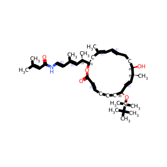 CC(C)=CC(=O)N/C=C/C(C)=C/[C@H](C)[C@@H]1C/C(C)=C/C=C/CC[C@@H](O)[C@H](C)/C=C/[C@H](O[Si](C)(C)C(C)(C)C)CCC/C=C/C(=O)O1